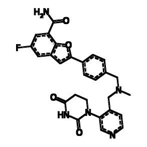 CN(Cc1ccc(-c2cc3cc(F)cc(C(N)=O)c3o2)cc1)Cc1ccncc1N1CCC(=O)NC1=O